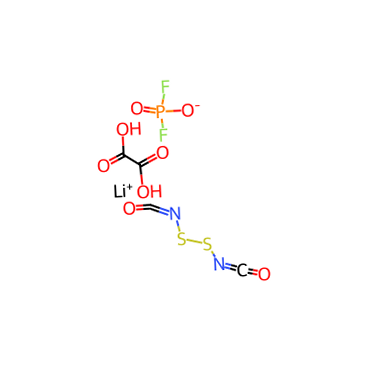 O=C(O)C(=O)O.O=C=NSSN=C=O.O=P([O-])(F)F.[Li+]